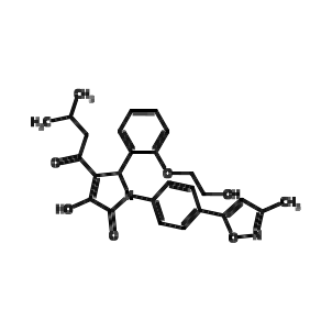 Cc1cc(-c2ccc(N3C(=O)C(O)=C(C(=O)CC(C)C)C3c3ccccc3OCCO)cc2)on1